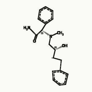 CN(C[C@H](O)[CH]Cc1ccccc1)[C@H](C(N)=O)c1ccccc1